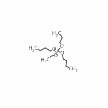 CCCCO[Si](OCC)(OCCC)OCCCC